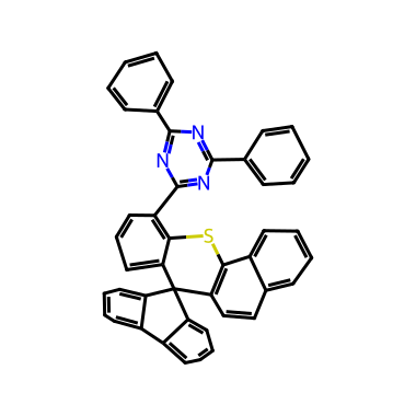 c1ccc(-c2nc(-c3ccccc3)nc(-c3cccc4c3Sc3c(ccc5ccccc35)C43c4ccccc4-c4ccccc43)n2)cc1